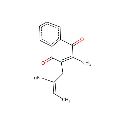 C/C=C(/CCC)CC1=C(C)C(=O)c2ccccc2C1=O